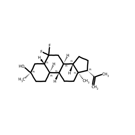 C=C(C)[C@H]1CC[C@H]2[C@@H]3CC(F)(F)[C@H]4C[C@](C)(O)CC[C@@H]4[C@H]3CC[C@]12C